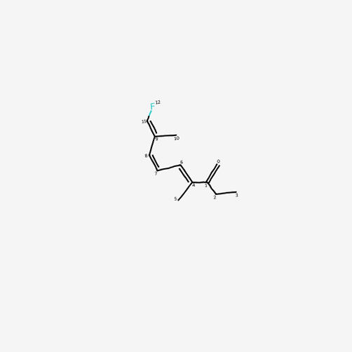 C=C(CC)/C(C)=C/C=C\C(C)=C\F